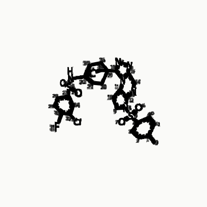 Cc1ccc(S(=O)(=O)n2ccc3c2ncc2nnc(C45CCC(NS(=O)(=O)c6ccc(F)c(Cl)c6)(CC4)CC5)n23)cc1